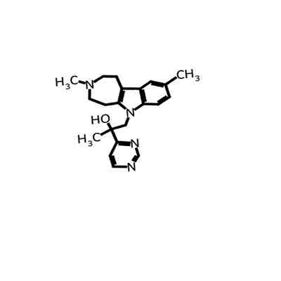 Cc1ccc2c(c1)c1c(n2CC(C)(O)c2ccncn2)CCN(C)CC1